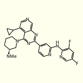 CN[C@H]1CCCN(c2nc(-c3ccnc(Nc4ncc(F)cc4F)c3)nc3cncc(C4CC4)c23)C1